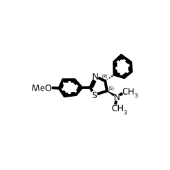 COc1ccc(C2=N[C@H](c3ccccc3)[C@@H](N(C)C)S2)cc1